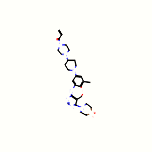 C=CC(=O)N1CCN(C2CCN(c3cc(C)c4c(c3)Nc3ncnc(N5CCS(=O)(=O)CC5)c3CO4)CC2)CC1